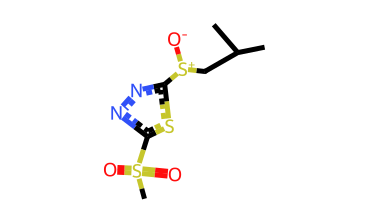 CC(C)C[S+]([O-])c1nnc(S(C)(=O)=O)s1